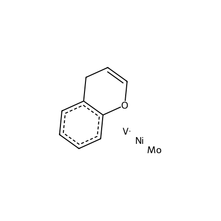 C1=COc2ccccc2C1.[Mo].[Ni].[V]